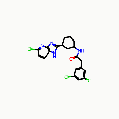 O=C(Cc1cc(Cl)cc(Cl)c1)NC1CCCC(c2nc3nc(Cl)ccc3[nH]2)C1